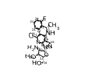 C[C@H](Nc1cc(Cl)nc2c1cnn2[C@@H]1O[C@H](CO)[C@@H](O)[C@@H]1N)c1ccccc1F